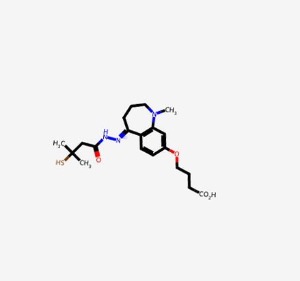 CN1CCC/C(=N\NC(=O)CC(C)(C)S)c2ccc(OCCCC(=O)O)cc21